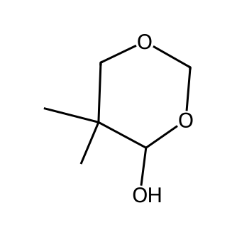 CC1(C)COCOC1O